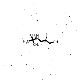 CC(C)(C)NC[C@@H](F)CO